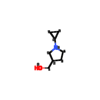 OCC1CCN(C2CC2)C1